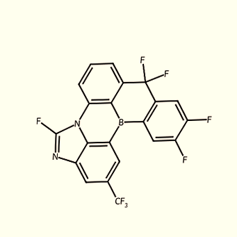 Fc1cc2c(cc1F)C(F)(F)c1cccc3c1B2c1cc(C(F)(F)F)cc2nc(F)n-3c12